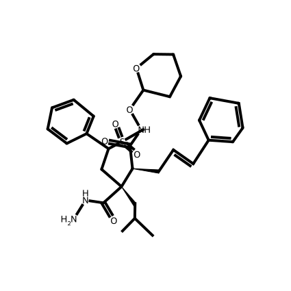 CC(C)C[C@](CC(c1ccccc1)S(C)(=O)=O)(C(=O)NN)[C@H](C/C=C/c1ccccc1)C(=O)NOC1CCCCO1